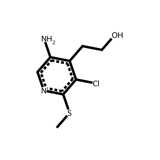 CSc1ncc(N)c(CCO)c1Cl